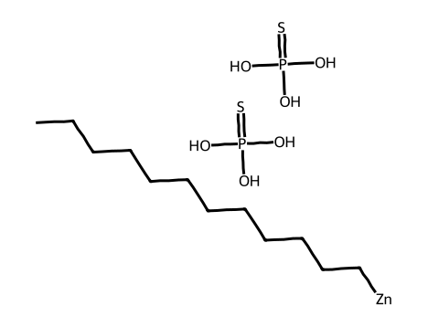 CCCCCCCCCCC[CH2][Zn].OP(O)(O)=S.OP(O)(O)=S